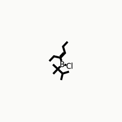 CC/C=C(\CC)B(Cl)C(C)(C)C(C)C